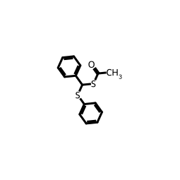 CC(=O)SC(Sc1ccccc1)c1ccccc1